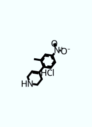 Cc1cc([N+](=O)[O-])ccc1C1=CCNCC1.Cl